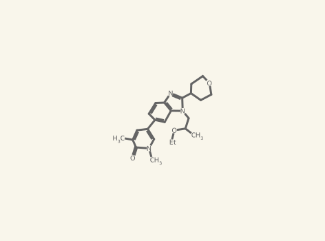 CCOC(C)Cn1c(C2CCOCC2)nc2ccc(-c3cc(C)c(=O)n(C)c3)cc21